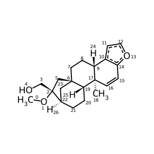 CO[C@]1(CO)C[C@@]23CC[C@@H]4c5ccoc5C=C[C@@]4(C)[C@@H]2CC[C@@H]1C3